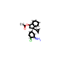 CCC(=O)OC1C[C@@](c2ccc(Cl)c(N)c2)(C2CC2)c2ccccc21